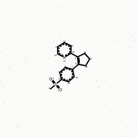 CS(=O)(=O)c1ccc(C2=C(c3ccccn3)CCC2)cc1